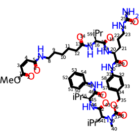 COC(=O)/C=C\C(=O)NCCCCCC(=O)N[C@H](C(=O)N[C@@H](CCCNC(N)=O)C(=O)Nc1ccc(COC(=O)N(C)[C@H](C(=O)N[C@H](C(=O)Nc2ccccc2)C(C)C)C(C)C)cc1)C(C)C